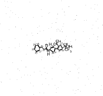 C=C(C)c1cc(C(O)(C(F)(F)F)C(F)(F)F)ccc1-c1ccc(NC(=O)CCc2ccccc2)cc1